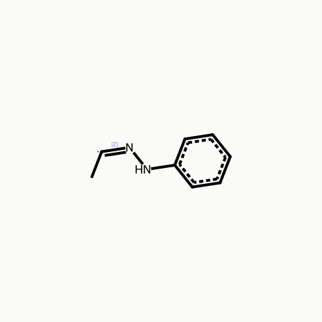 C/[C]=N\Nc1ccccc1